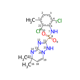 Cc1ccc(Cl)c(NS(=O)(=O)C2=NC3=NC(C)(C)C=CN3N2)c1Cl